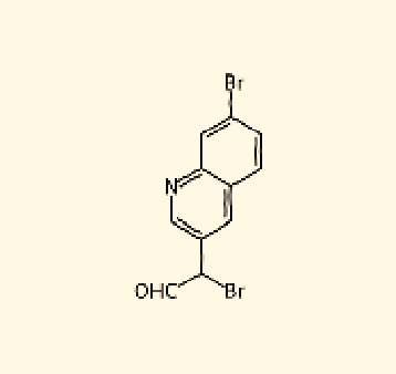 O=CC(Br)c1cnc2cc(Br)ccc2c1